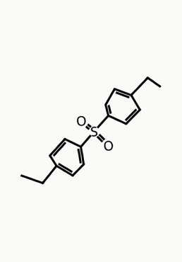 CCc1ccc(S(=O)(=O)c2ccc(CC)cc2)cc1